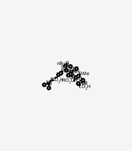 CCCCC1C(=O)N(c2ccccc2)N(c2ccccc2)C1=O.CN1C(C(=O)Nc2ccccn2)=C(O)c2ccccc2S1(=O)=O.COc1ccc2cc(CCC(C)=O)ccc2c1.COc1ccc2cc([C@H](C)C(=O)O)ccc2c1.Cc1ccc(Cl)c(Nc2ccccc2C(=O)O)c1Cl.O=C(O)CCc1nc(-c2ccccc2)c(-c2ccccc2)o1